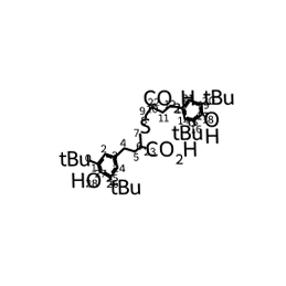 CC(C)(C)c1cc(CCC(CSCC(CCc2cc(C(C)(C)C)c(O)c(C(C)(C)C)c2)C(=O)O)C(=O)O)cc(C(C)(C)C)c1O